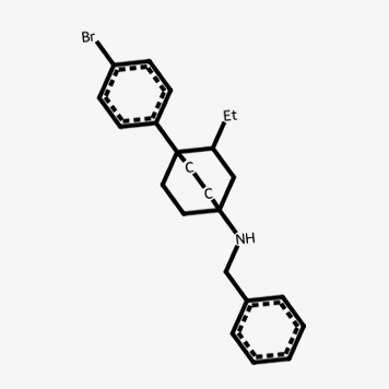 CCC1CC2(NCc3ccccc3)CCC1(c1ccc(Br)cc1)CC2